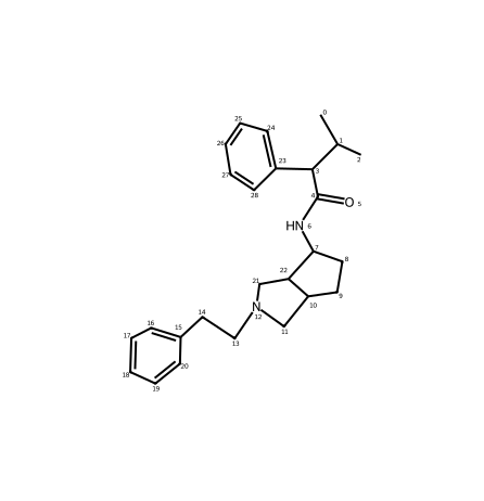 CC(C)C(C(=O)NC1CCC2CN(CCc3ccccc3)CC21)c1ccccc1